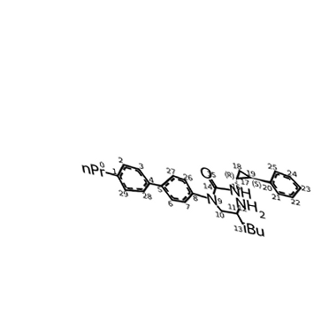 CCCc1ccc(-c2ccc(N(CC(N)C(C)CC)C(=O)N[C@@H]3C[C@H]3c3ccccc3)cc2)cc1